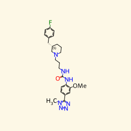 COc1cc(-c2nnnn2C)ccc1NC(=O)NCCCN1CCC[C@@H](Cc2ccc(F)cc2)C1